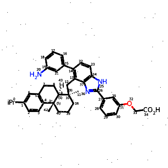 CC(C)c1ccc2c(c1)CC[C@H]1[C@@](C)(Cc3c(-c4cccc(N)c4)ccc4[nH]c(-c5cccc(OCC(=O)O)c5)nc34)CCC[C@]21C